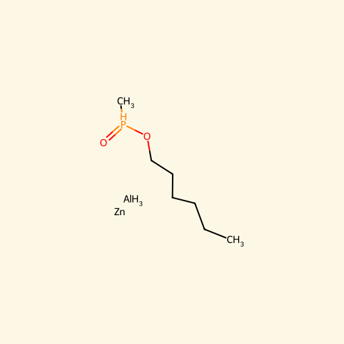 CCCCCCO[PH](C)=O.[AlH3].[Zn]